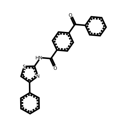 O=C(Nc1nc(-c2ccccc2)cs1)c1ccc(C(=O)c2ccccc2)cc1